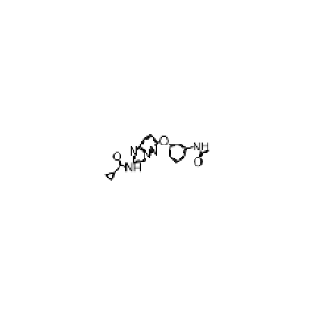 CC(=O)Nc1cccc(Oc2ccc3nc(NC(=O)C4CC4)cn3n2)c1